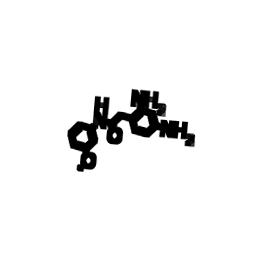 COc1cccc(NC(=O)Cc2ccc(N)cc2N)c1